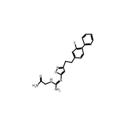 NC(=O)CNC(N)=Nc1cc(CCc2ccc(-c3ccccc3)c(F)c2)no1